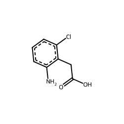 Nc1cccc(Cl)c1CC(=O)O